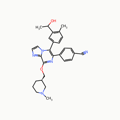 Cc1ccc(-c2c(-c3ccc(C#N)cc3)nc(OC[C@@H]3CCCN(C)C3)c3nccn23)cc1C(C)O